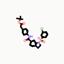 CC(C)(C)OC(=O)Cc1ccc(NC(=O)c2ccc3c(c2)N(S(=O)(=O)c2cccc(Cl)c2)CC3)cc1